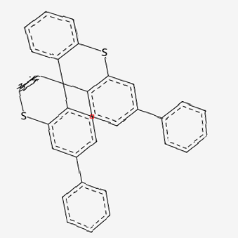 c1ccc(-c2ccc3c(c2)Sc2ccccc2C32c3ccccc3Sc3cc(-c4ccccc4)ccc32)cc1